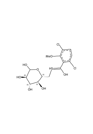 COc1c(Cl)ccc(Cl)c1C(O)=[SH]C[C@H]1OC(O)[C@H](O)[C@@H](O)[C@@H]1O